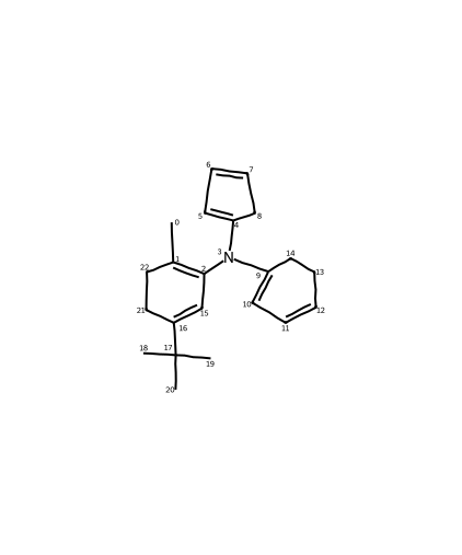 CC1=C(N(C2=CC=CC2)C2=CC=CCC2)C=C(C(C)(C)C)CC1